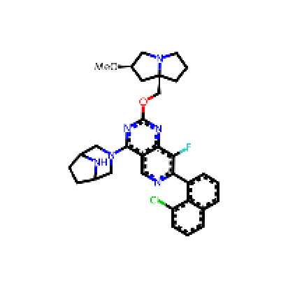 CO[C@H]1CN2CCC[C@]2(COc2nc(N3CC4CCC(C3)N4)c3cnc(-c4cccc5cccc(Cl)c45)c(F)c3n2)C1